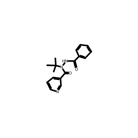 CC(C)(C)N(NC(=O)c1ccccc1)C(=O)c1cccnc1